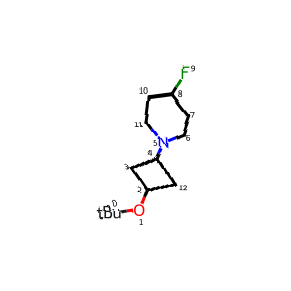 CC(C)(C)OC1CC(N2CCC(F)CC2)C1